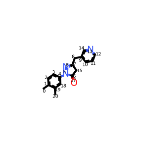 Cc1ccc(N2N=C(Cc3cccnc3)CC2=O)cc1C